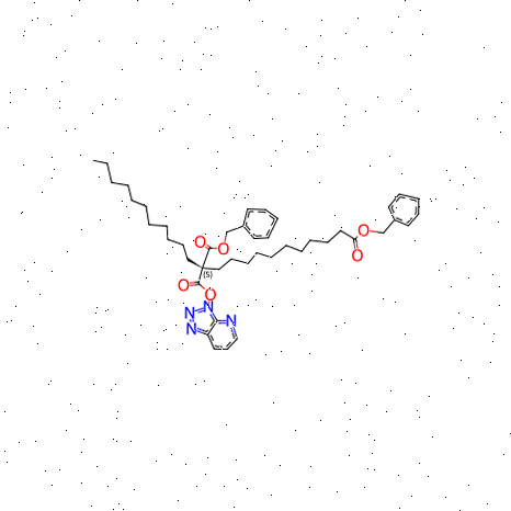 CCCCCCCCCCC[C@](CCCCCCCCCCC(=O)OCc1ccccc1)(C(=O)OCc1ccccc1)C(=O)On1nnc2cccnc21